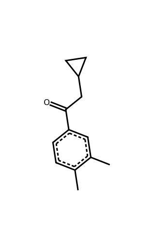 Cc1ccc(C(=O)CC2CC2)cc1C